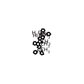 Cc1ccccc1N(c1ccccc1)c1ccc2c3c(c4ccccc4c2c1)-c1ccc2cc(N(c4ccccc4)c4ccccc4[Si](C)(C)C)ccc2c1C3(C)C